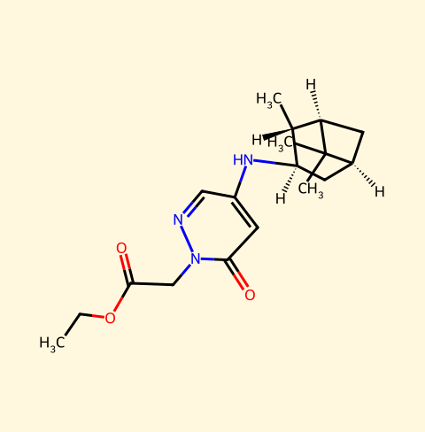 CCOC(=O)Cn1ncc(N[C@@H]2C[C@@H]3C[C@H]([C@H]2C)C3(C)C)cc1=O